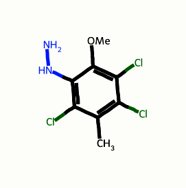 COc1c(Cl)c(Cl)c(C)c(Cl)c1NN